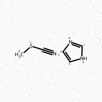 CSC#N.c1c[nH]cn1